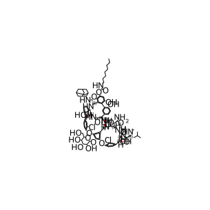 CCCCCCCCNC(=O)Oc1cc(O)c2c(c1)[C@@H](C(=O)NC1C3CC4CC(C3)CC1C4)NC(=O)[C@H]1NC(=O)[C@H](NC(=O)[C@@H]3NC(=O)[C@H](CC(N)=O)NC(=O)[C@H](NC(=O)[C@@H](CC(C)C)NC)[C@H](O)c4ccc(c(Cl)c4)Oc4cc3cc(c4OC3OC(CO)C(O)C(O)C3O)Oc3ccc(cc3Cl)[C@H]1O)c1ccc(O)c-2c1